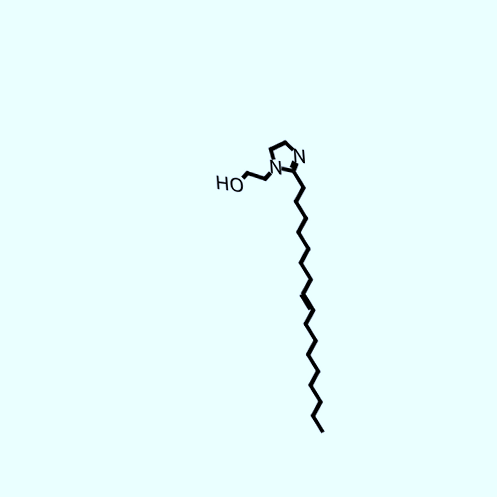 CCCCCCCCC=CCCCCCCCC1=NCCN1CCO